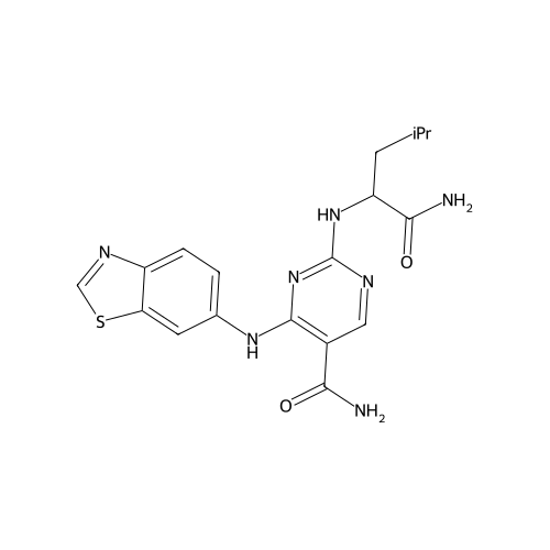 CC(C)CC(Nc1ncc(C(N)=O)c(Nc2ccc3ncsc3c2)n1)C(N)=O